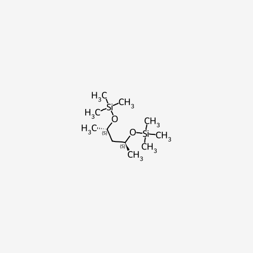 C[C@@H](C[C@H](C)O[Si](C)(C)C)O[Si](C)(C)C